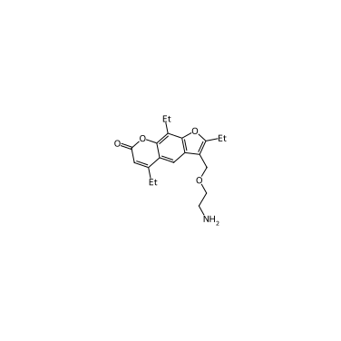 CCc1oc2c(CC)c3oc(=O)cc(CC)c3cc2c1COCCN